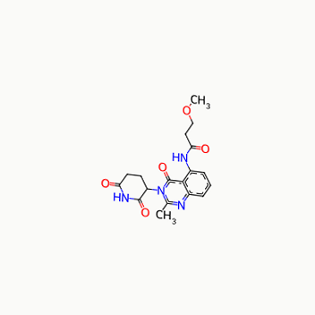 COCCC(=O)Nc1cccc2nc(C)n(C3CCC(=O)NC3=O)c(=O)c12